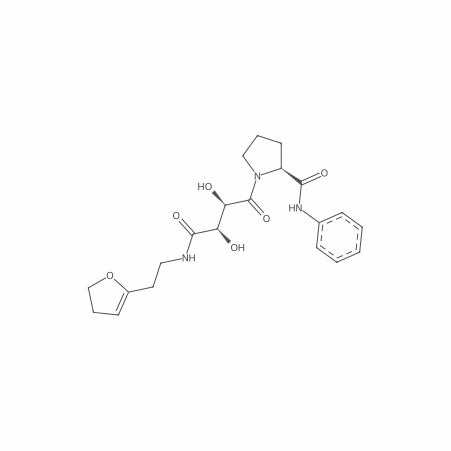 O=C(NCCC1=CCCO1)[C@H](O)[C@@H](O)C(=O)N1CCC[C@H]1C(=O)Nc1ccccc1